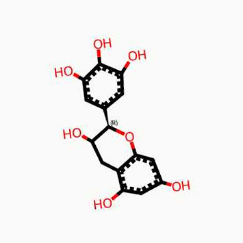 Oc1cc(O)c2c(c1)O[C@H](c1cc(O)c(O)c(O)c1)C(O)C2